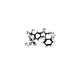 NC1Nc2cc(C(F)(F)F)c(S(N)(=O)=O)cc2N1c1ccccc1Cl